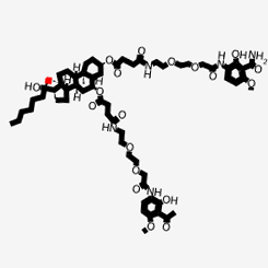 CCCCCC[C@](C)(O)[C@H]1CC[C@H]2[C@@H]3C[C@H](OC(=O)CCC(=O)NCCOCCOCC(=O)Nc4ccc(OC)c(C(C)=O)c4O)[C@H]4C[C@@H](OC(=O)CCC(=O)NCCOCCOCC(=O)Nc5ccc(OC)c(C(N)=O)c5O)CC[C@]4(C)[C@H]3CC[C@@]21C